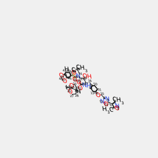 Cc1noc(C)c1-c1nc(COc2ccc(C[C@H](NC(=O)O[C@H]3CO[C@H]4OCC[C@H]43)[C@H](O)CN(CC(C)C)S(=O)(=O)c3ccc4c(c3)OCO4)cc2)no1